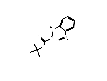 CN(NC(=O)OC(C)(C)C)c1ccccc1[N+](=O)[O-]